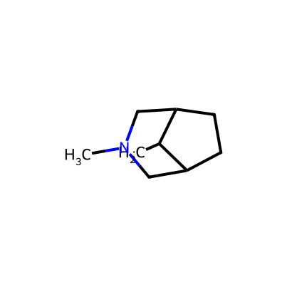 [CH2]C1C2CCC1CN(C)C2